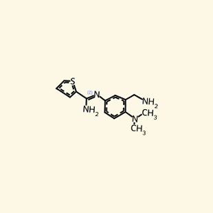 CN(C)c1ccc(/N=C(\N)c2cccs2)cc1CN